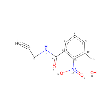 C#CCNC(=O)c1cccc(CO)c1[N+](=O)[O-]